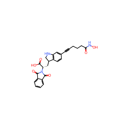 O=C(CCCC#Cc1ccc2c(c1)NCC2C[C@@H](C(=O)O)N1C(=O)c2ccccc2C1=O)NO